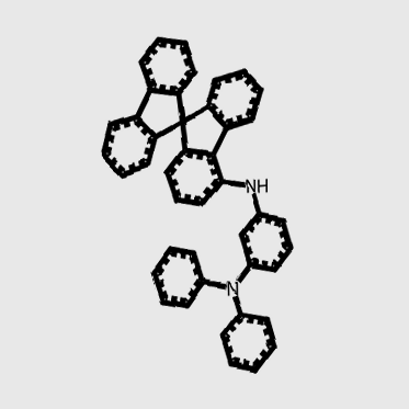 c1ccc(N(c2ccccc2)c2cccc(Nc3cccc4c3-c3ccccc3C43c4ccccc4-c4ccccc43)c2)cc1